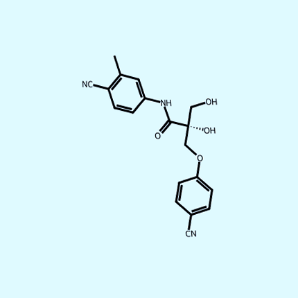 Cc1cc(NC(=O)[C@@](O)(CO)COc2ccc(C#N)cc2)ccc1C#N